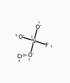 [Cr+3].[O-][Si]([O-])([O-])F